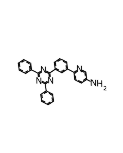 Nc1ccc(-c2cccc(-c3nc(-c4ccccc4)nc(-c4ccccc4)n3)c2)nc1